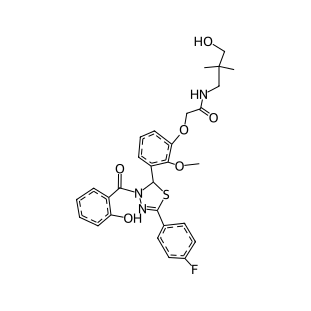 COc1c(OCC(=O)NCC(C)(C)CO)cccc1C1SC(c2ccc(F)cc2)=NN1C(=O)c1ccccc1O